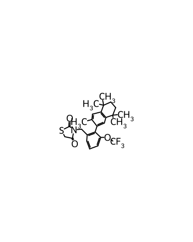 Cc1cc2c(cc1-c1c(CN3C(=O)CSC3=O)cccc1OC(F)(F)F)C(C)(C)CCC2(C)C